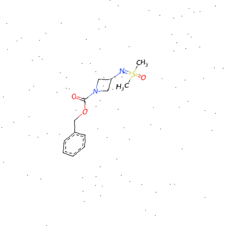 CS(C)(=O)=NC1CN(C(=O)OCc2ccccc2)C1